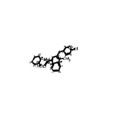 Cc1c(Cc2ccc(Cl)nc2)cc(C(=O)N[C@H]2CCCC[C@@H]2O)c2ncccc12